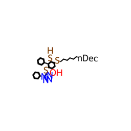 CCCCCCCCCCCCCCCCSc1cc(O)c(Sc2nnnn2-c2ccccc2)c(-c2ccccc2)c1S